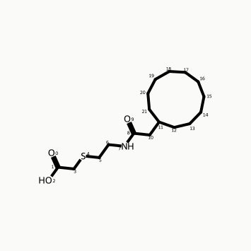 O=C(O)CSCCNC(=O)CC1CCCCCCCCCC1